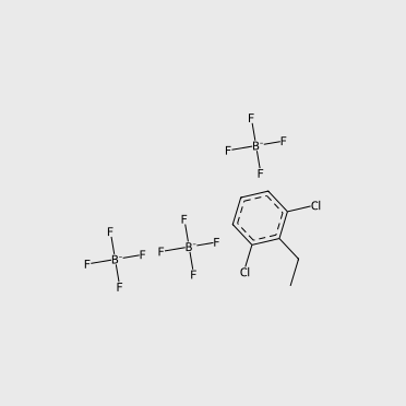 CCc1c(Cl)cccc1Cl.F[B-](F)(F)F.F[B-](F)(F)F.F[B-](F)(F)F